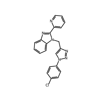 Clc1ccc(-n2cc(Cn3c(-c4ccccn4)nc4ccccc43)nn2)cc1